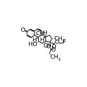 CCC(=O)O[C@@]1(C(=O)OCF)[C@@H](C)C[C@H]2[C@@H]3C=CC4=CC(=O)C=C[C@]4(C)[C@H]3[C@@H](O)C[C@@]21C